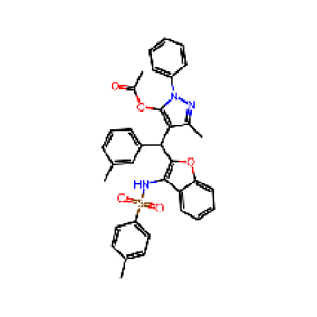 CC(=O)Oc1c(C(c2cccc(C)c2)c2oc3ccccc3c2NS(=O)(=O)c2ccc(C)cc2)c(C)nn1-c1ccccc1